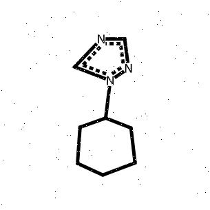 c1ncn(C2CCCCC2)n1